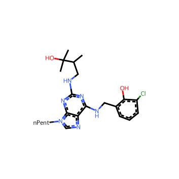 CCCCCn1cnc2c(NCc3cccc(Cl)c3O)nc(NCC(C)C(C)(C)O)nc21